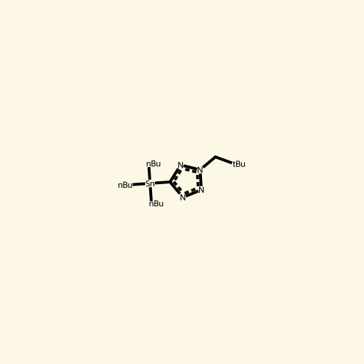 CCC[CH2][Sn]([CH2]CCC)([CH2]CCC)[c]1nnn(CC(C)(C)C)n1